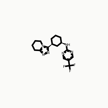 FC(F)(F)c1cnc(N[C@@H]2CCC[C@H](c3nnc4n3CCCC4)C2)nc1